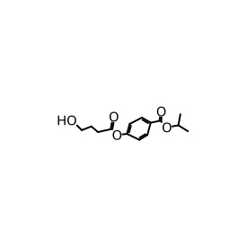 CC(C)OC(=O)c1ccc(OC(=O)CCCO)cc1